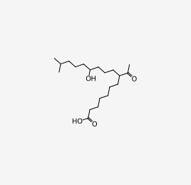 CC(=O)C(CCCCCCC(=O)O)CCCC(O)CCCC(C)C